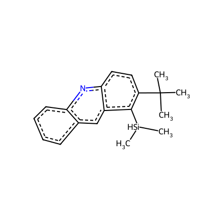 C[SiH](C)c1c(C(C)(C)C)ccc2nc3ccccc3cc12